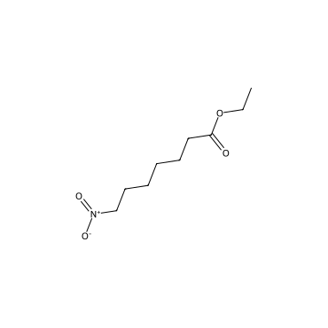 CCOC(=O)CCCCCC[N+](=O)[O-]